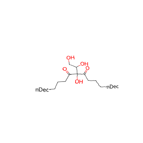 CCCCCCCCCCCCCC(=O)C(O)(C(=O)CCCCCCCCCCCCC)C(O)CO